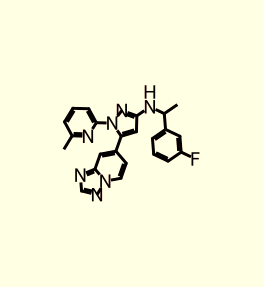 Cc1cccc(-n2nc(NC(C)c3cccc(F)c3)cc2-c2ccn3ncnc3c2)n1